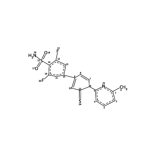 Cc1cccc(C2C=CC(c3cc(F)c(S(N)(=O)=O)c(F)c3)=CC2=S)n1